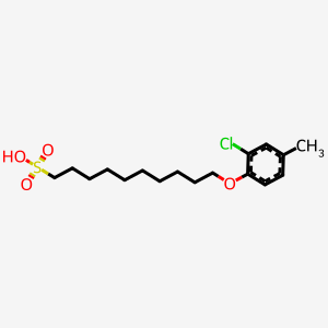 Cc1ccc(OCCCCCCCCCCS(=O)(=O)O)c(Cl)c1